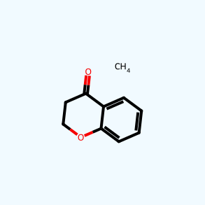 C.O=C1CCOc2ccccc21